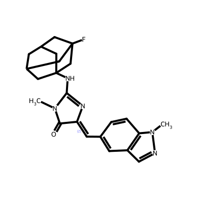 CN1C(=O)/C(=C/c2ccc3c(cnn3C)c2)N=C1NC12CC3CC(CC(F)(C3)C1)C2